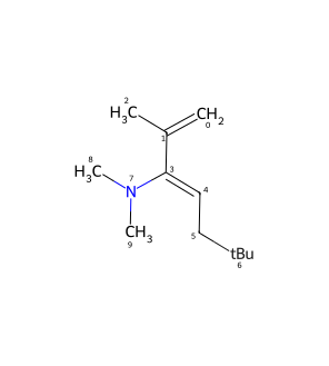 C=C(C)/C(=C/CC(C)(C)C)N(C)C